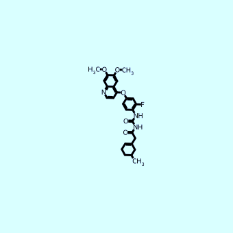 COc1cc2nccc(Oc3ccc(NC(=O)NC(=O)CC4=CCCC(C)C4)c(F)c3)c2cc1OC